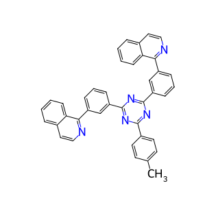 Cc1ccc(-c2nc(-c3cccc(-c4nccc5ccccc45)c3)nc(-c3cccc(-c4nccc5ccccc45)c3)n2)cc1